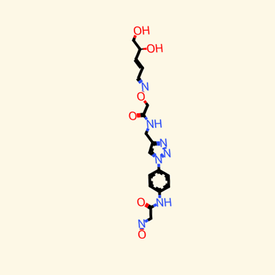 O=NCC(=O)Nc1ccc(-n2cc(CNC(=O)CO/N=C/C=C/[C@H](O)CO)nn2)cc1